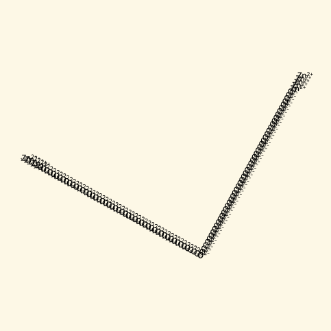 [O-2].[O-2].[O-2].[O-2].[O-2].[O-2].[O-2].[O-2].[O-2].[O-2].[O-2].[O-2].[O-2].[O-2].[O-2].[O-2].[O-2].[O-2].[O-2].[O-2].[O-2].[O-2].[O-2].[O-2].[O-2].[O-2].[O-2].[O-2].[O-2].[O-2].[O-2].[O-2].[O-2].[O-2].[O-2].[O-2].[O-2].[O-2].[O-2].[O-2].[O-2].[O-2].[O-2].[O-2].[O-2].[O-2].[O-2].[O-2].[O-2].[O-2].[O-2].[O-2].[O-2].[O-2].[O-2].[O-2].[O-2].[O-2].[O-2].[O-2].[O-2].[O-2].[O-2].[O-2].[O-2].[O-2].[O-2].[O-2].[O-2].[O-2].[O-2].[O-2].[O-2].[O-2].[O-2].[O-2].[O-2].[O-2].[O-2].[O-2].[O-2].[O-2].[O-2].[O-2].[O-2].[O-2].[O-2].[O-2].[O-2].[O-2].[O-2].[O-2].[O-2].[O-2].[O-2].[O-2].[O-2].[O-2].[O-2].[O-2].[Zn+2].[Zn+2].[Zn+2].[Zn+2].[Zn+2].[Zn+2].[Zn+2].[Zn+2].[Zn+2].[Zn+2]